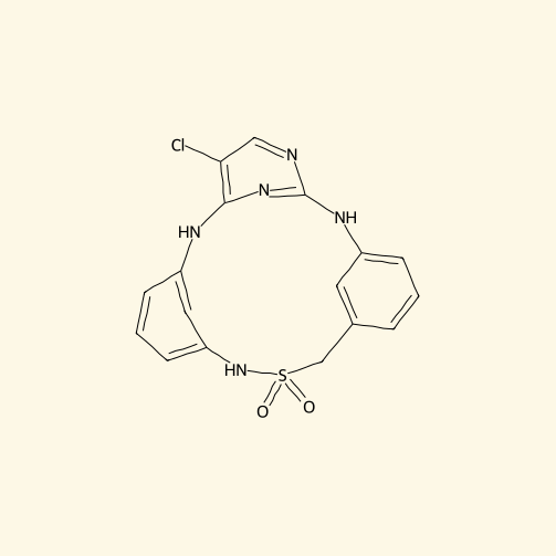 O=S1(=O)Cc2cccc(c2)Nc2ncc(Cl)c(n2)Nc2cccc(c2)N1